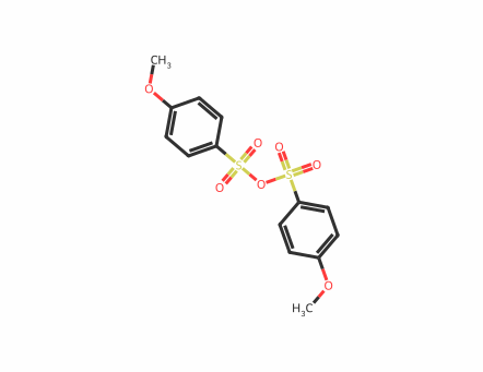 COc1ccc(S(=O)(=O)OS(=O)(=O)c2ccc(OC)cc2)cc1